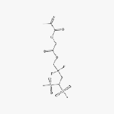 C=C(C)C(=O)OCC(=O)OCC(F)(F)CC(S(C)(=O)=O)S(C)(=O)=O